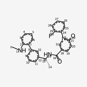 CNc1ccccc1-c1cccc([C@@H](C)NC(=O)c2ccc(=O)n(-c3ccccc3F)c2)c1